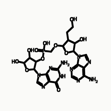 Nc1nc2c(ncn2C2OC(O)C(O)C2OP(=O)(O)COC2OC(n3cnc4c(N)ncnc43)C(O)C2CCO)c(=O)[nH]1